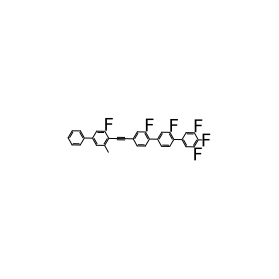 Cc1cc(-c2ccccc2)cc(F)c1C#Cc1ccc(-c2ccc(-c3cc(F)c(F)c(F)c3)c(F)c2)c(F)c1